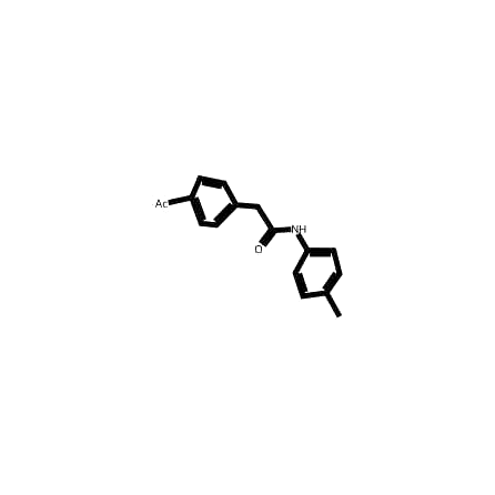 CC(=O)c1ccc(CC(=O)Nc2ccc(C)cc2)cc1